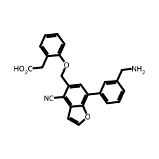 N#Cc1c(COc2ccccc2CC(=O)O)cc(-c2cccc(CN)c2)c2occc12